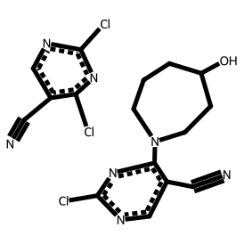 N#Cc1cnc(Cl)nc1Cl.N#Cc1cnc(Cl)nc1N1CCCC(O)CC1